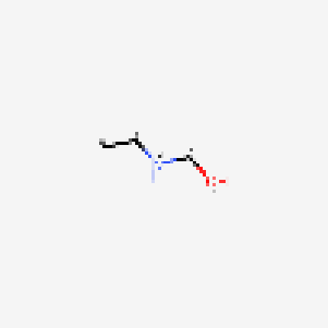 C[CH]NCO